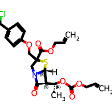 C=CCOC(=O)O[C@H](C)[C@H]1C(=O)N2CC(COc3ccc(CCl)cc3)(C(=O)OCC=C)S[C@H]12